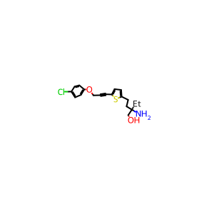 CCC(N)(CO)CCc1ccc(C#CCOc2ccc(Cl)cc2)s1